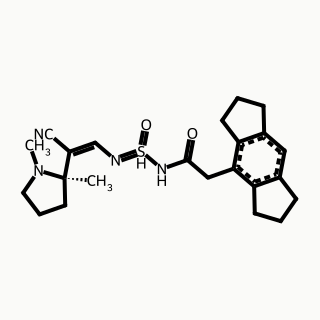 CN1CCC[C@]1(C)/C(C#N)=C\N=[SH](=O)\NC(=O)Cc1c2c(cc3c1CCC3)CCC2